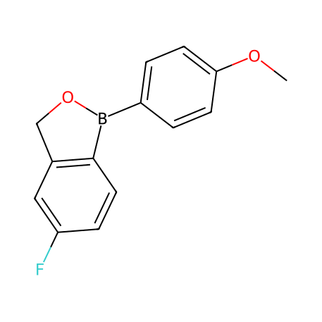 COc1ccc(B2OCc3cc(F)ccc32)cc1